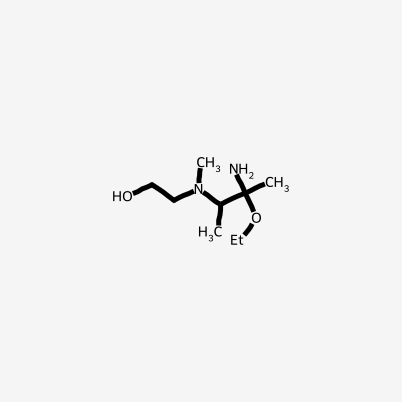 CCOC(C)(N)C(C)N(C)CCO